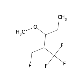 CCC(OC)C(CF)C(F)(F)F